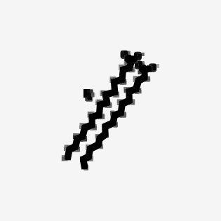 CCCCCCCCCCCCCCCCCC(=O)[O-].CCCCCCCCCCCCCCCCCC(=O)[O-].[K+].[K+]